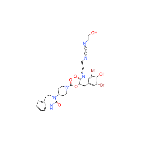 O=C(N=C=C=CN=C=C=NCCO)[C@@H](Cc1cc(Br)c(O)c(Br)c1)OC(=O)N1CCC(N2CCc3ccccc3NC2=O)CC1